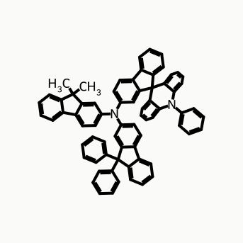 CC1(C)c2ccccc2-c2ccc(N(c3ccc4c(c3)C(c3ccccc3)(c3ccccc3)c3ccccc3-4)c3ccc4c(c3)C3(c5ccccc5-4)c4ccccc4N(c4ccccc4)c4ccccc43)cc21